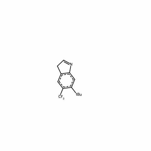 CC(C)(C)c1cc2c(cc1C(F)(F)F)CC=N2